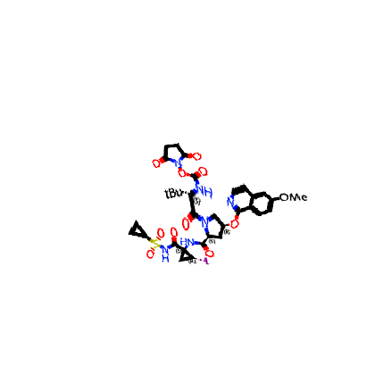 COc1ccc2c(O[C@@H]3C[C@@H](C(=O)N[C@]4(C(=O)NS(=O)(=O)C5CC5)C[C@H]4I)N(C(=O)[C@@H](NC(=O)ON4C(=O)CCC4=O)C(C)(C)C)C3)nccc2c1